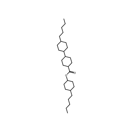 CCCCCC1CCC(OC(=O)C2CCC(C3CCC(CCCCC)CC3)CC2)CC1